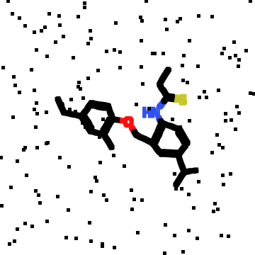 CCC(=S)Nc1ccc(C(C)C)cc1COc1ccc(CC)cc1C